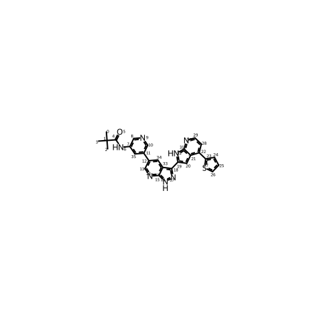 CC(C)(C)C(=O)Nc1cncc(-c2cnc3[nH]nc(-c4cc5c(-c6cccs6)ccnc5[nH]4)c3c2)c1